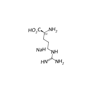 N=C(N)NCCC[C@H](N)C(=O)O.[NaH]